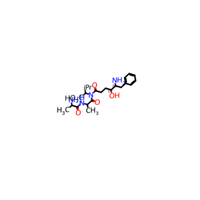 CC(N)C(=O)NC(C)C(=O)N(C(=O)CC[C@H](O)[C@@H](N)Cc1ccccc1)C(C(=O)O)C(C)C